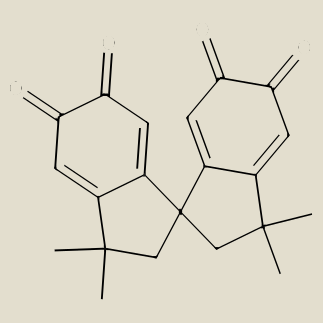 CC1(C)CC2(CC(C)(C)C3=CC(=O)C(=O)C=C32)C2=CC(=O)C(=O)C=C21